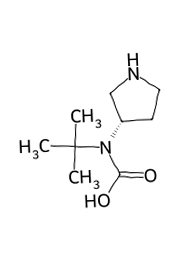 CC(C)(C)N(C(=O)O)[C@H]1CCNC1